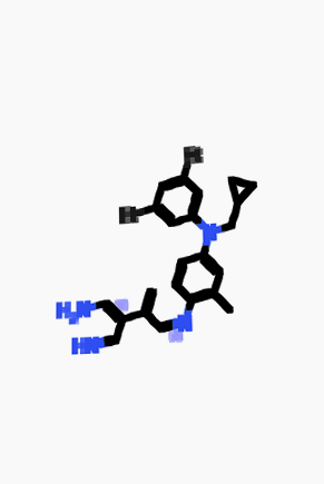 C=C(/C=N\c1ccc(N(CC2CC2)c2cc(CC)cc(CC)c2)cc1C)/C(C=N)=C/N